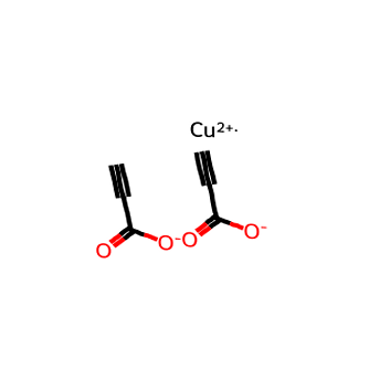 C#CC(=O)[O-].C#CC(=O)[O-].[Cu+2]